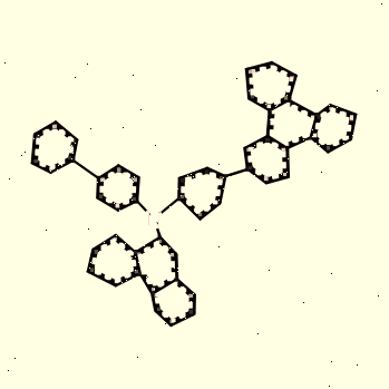 c1ccc(-c2ccc(N(c3ccc(-c4ccc5c6ccccc6c6ccccc6c5c4)cc3)c3cc4ccccc4c4ccccc34)cc2)cc1